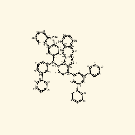 C1=C=CC(c2cc(-c3ccccc3)cc(-c3ccc(N(c4cccc(-c5ccccc5)c4)c4ccc5oc6ccccc6c5c4)c4c3sc3cc5ccccc5cc34)c2)=CC=1